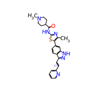 Cc1nc(NC(=O)C2CCN(C)CC2)sc1-c1ccc2c(/C=C/c3ccccn3)n[nH]c2c1